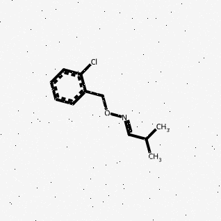 CC(C)C=NOCc1ccccc1Cl